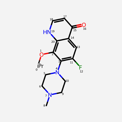 CC(C)Oc1c(N2CCN(C)CC2)c(F)cc2c(=O)cc[nH]c12